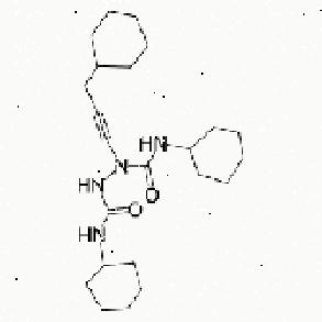 O=C(NC1CCCCC1)NN(C#CCC1CCCCC1)C(=O)NC1CCCCC1